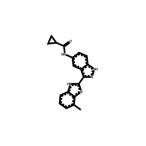 Cc1cccc2[nH]c(-c3n[nH]c4ccc(NC(=O)C5CC5)cc34)nc12